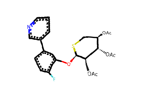 CC(=O)O[C@@H]1[C@@H](OC(C)=O)[C@@H](Oc2cc(-c3cccnc3)ccc2F)SC[C@H]1OC(C)=O